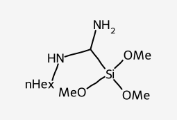 CCCCCCNC(N)[Si](OC)(OC)OC